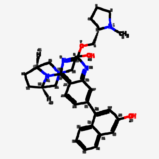 CN1CCC[C@H]1COc1nc(N2[C@@H]3CC[C@H]2CN(CCO)C3)c2ccc(-c3cc(O)cc4ccccc34)cc2n1